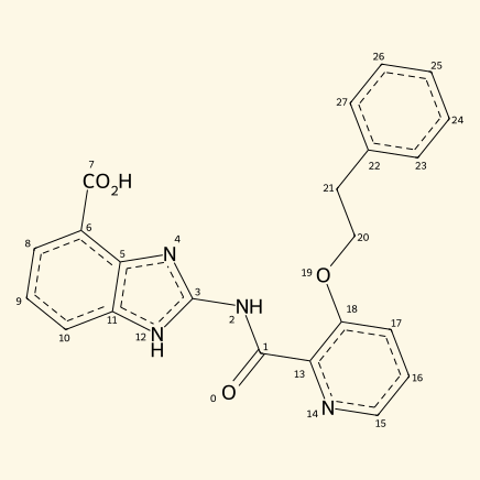 O=C(Nc1nc2c(C(=O)O)cccc2[nH]1)c1ncccc1OCCc1ccccc1